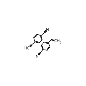 C#Cc1ccc(C#N)cc1.C=Cc1ccc(C#N)cc1